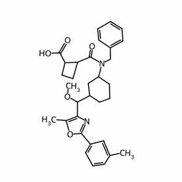 COC(c1nc(-c2cccc(C)c2)oc1C)C1CCCC(N(Cc2ccccc2)C(=O)C2CCC2C(=O)O)C1